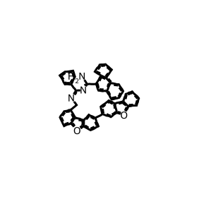 N/C(=N\C(=N/Cc1cccc2oc3ccc(-c4ccc5c(c4)oc4ccccc45)cc3c12)c1ccccc1)c1cc2ccccc2c2ccccc12